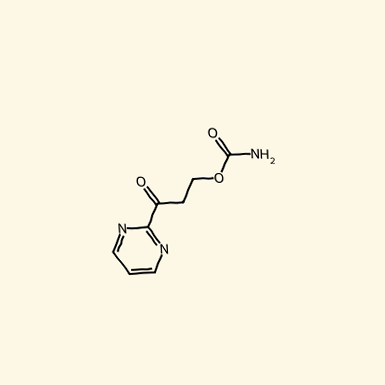 NC(=O)OCCC(=O)c1ncccn1